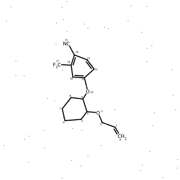 C=CCOC1CCCCC1Oc1ccc(C#N)c(C(F)(F)F)c1